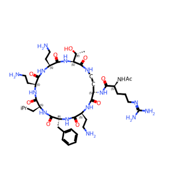 CC(=O)N[C@@H](CCCN=C(N)N)C(=O)N[C@H]1CCNC(=O)[C@H]([C@@H](C)O)NC(=O)[C@H](CCN)NC(=O)[C@H](CCN)NC(=O)[C@H](CC(C)C)NC(=O)[C@@H](Cc2ccccc2)NC(=O)[C@H](CCN)NC1=O